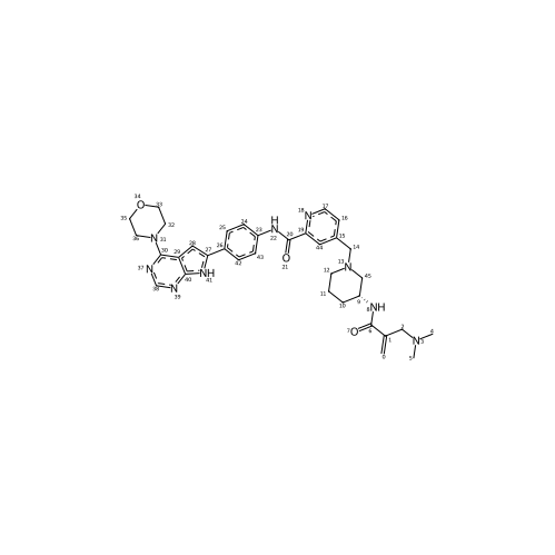 C=C(CN(C)C)C(=O)N[C@@H]1CCCN(Cc2ccnc(C(=O)Nc3ccc(-c4cc5c(N6CCOCC6)ncnc5[nH]4)cc3)c2)C1